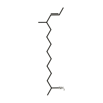 CC=CC(C)CCCCCCCCC(C)N